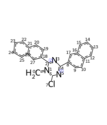 C=N/C(=N\C(=N/CCl)c1ccc2ccccc2c1)c1ccc2ccccc2c1